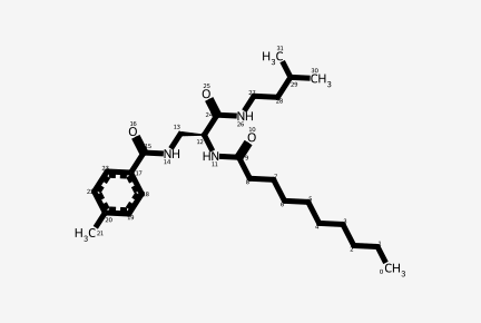 CCCCCCCCCC(=O)N[C@@H](CNC(=O)c1ccc(C)cc1)C(=O)NCCC(C)C